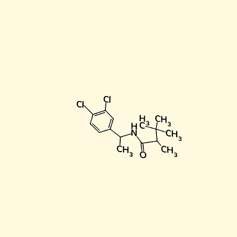 CC(NC(=O)C(C)C(C)(C)C)c1ccc(Cl)c(Cl)c1